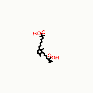 Cc1ccc(CCCCCCC(C)(C)C(=O)O)c(C)c1CCCCC1(C(=O)O)CC1